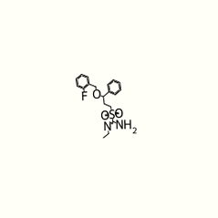 CC/N=C(\N)S(=O)(=O)CCC(OCc1ccccc1F)c1ccccc1